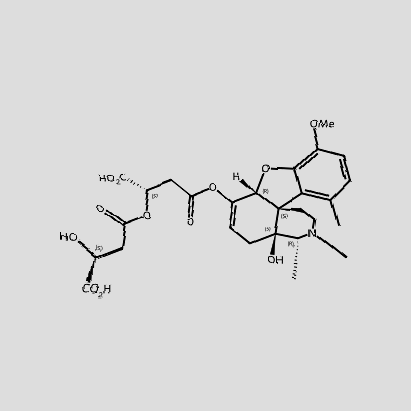 COc1ccc(C)c2c1O[C@H]1C(OC(=O)C[C@H](OC(=O)C[C@H](O)C(=O)O)C(=O)O)=CC[C@@]3(O)[C@@H](C)N(C)CC[C@]213